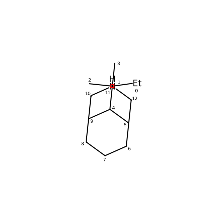 CCC(C)(C)C1C2CCCC1CNC2